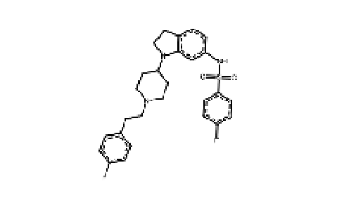 O=S(=O)(Nc1ccc2c(c1)N(C1CCN(CCc3ccc(F)cc3)CC1)CC2)c1ccc(F)cc1